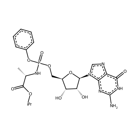 CC(C)OC(=O)[C@H](C)NP(=O)(OC[C@H]1O[C@@H](n2cnc3c(=O)[nH]c(N)nc32)[C@H](O)[C@@H]1O)Oc1ccccc1